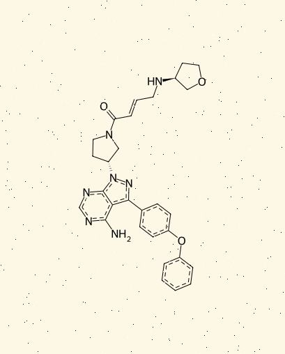 Nc1ncnc2c1c(-c1ccc(Oc3ccccc3)cc1)nn2[C@@H]1CCN(C(=O)C=CCN[C@H]2CCOC2)C1